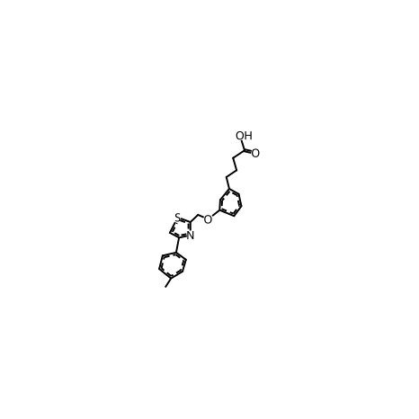 Cc1ccc(-c2csc(COc3cccc(CCCC(=O)O)c3)n2)cc1